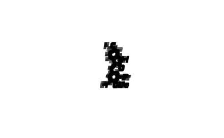 COc1c(C(C)C)cc(C=C2C(=O)Nc3cc(C(F)(F)F)ccc32)cc1C(C)C